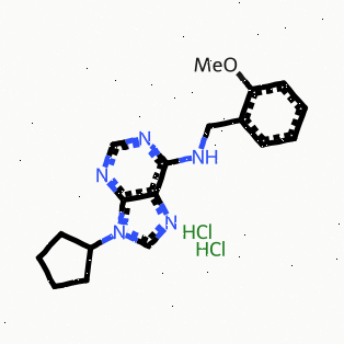 COc1ccccc1CNc1ncnc2c1ncn2C1CCCC1.Cl.Cl